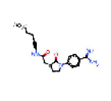 N=C(N)c1ccc(N2CC[C@@H](CC(=O)NC#CCCC(=O)O)C2=O)cc1